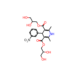 CC1=C(C(=O)OCC(O)CO)C(c2cccc([N+](=O)[O-])c2)C(C(=O)OCC(O)CO)=C(C)N1